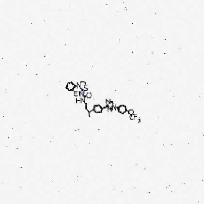 CCc1ccccc1N1CCS/C1=N\C(=O)NCCC(C)c1ccc(-c2ncn(-c3ccc(OC(F)(F)F)cc3)n2)cc1